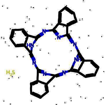 S.c1ccc2c(c1)-c1nc-2nc2[nH]c(nc3nc(nc4[nH]c(n1)c1ccccc41)-c1ccccc1-3)c1ccccc21